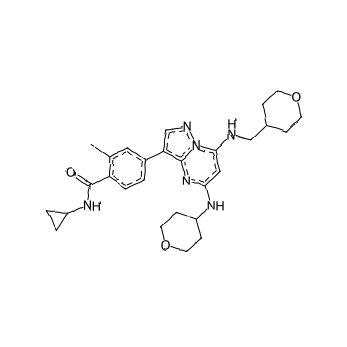 Cc1cc(-c2cnn3c(NCC4CCOCC4)cc(NC4CCOCC4)nc23)ccc1C(=O)NC1CC1